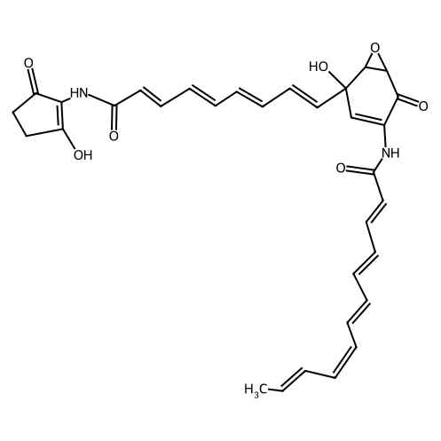 C/C=C/C=C\C=C\C=C\C=C\C(=O)NC1=CC(O)(/C=C/C=C/C=C/C=C/C(=O)NC2=C(O)CCC2=O)C2OC2C1=O